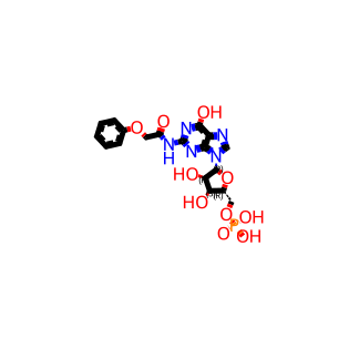 O=C(COc1ccccc1)Nc1nc(O)c2ncn([C@@H]3O[C@H](COP(=O)(O)O)[C@@H](O)[C@H]3O)c2n1